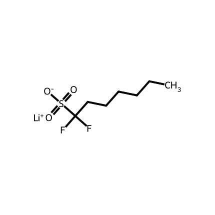 CCCCCCC(F)(F)S(=O)(=O)[O-].[Li+]